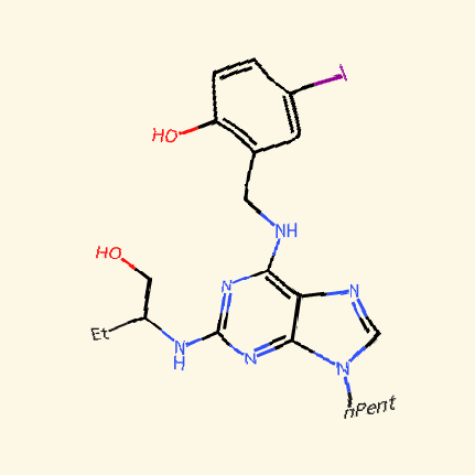 CCCCCn1cnc2c(NCc3cc(I)ccc3O)nc(NC(CC)CO)nc21